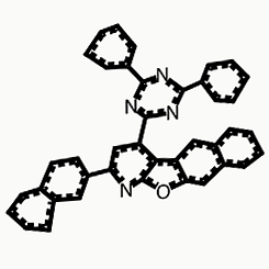 c1ccc(-c2nc(-c3ccccc3)nc(-c3cc(-c4ccc5ccccc5c4)nc4oc5cc6ccccc6cc5c34)n2)cc1